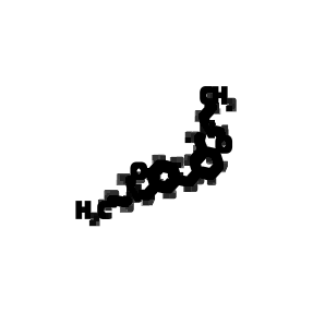 C=CCN1COC2CC=C(Cc3ccc4c(c3)CN(CC=C)CO4)C=C2C1